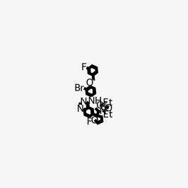 CCN(C(C)C1(c2cc3c(Nc4ccc(OCc5cccc(F)c5)c(Br)c4)ncnc3cc2F)CC=CO1)S(=O)(=O)CC